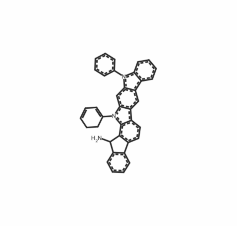 NC1c2ccccc2-c2ccc3c4cc5c6ccccc6n(-c6ccccc6)c5cc4n(C4=CC=CCC4)c3c21